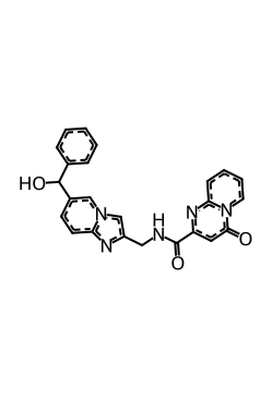 O=C(NCc1cn2cc(C(O)c3ccccc3)ccc2n1)c1cc(=O)n2ccccc2n1